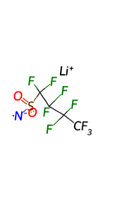 [Li+].[N-]S(=O)(=O)C(F)(F)C(F)(F)C(F)(F)C(F)(F)F